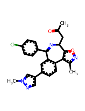 CC(=O)CC1N=C(c2ccc(Cl)cc2)c2cc(-c3cnn(C)c3)ccc2-c2c(C)noc21